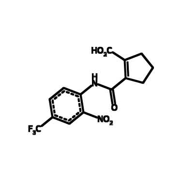 O=C(O)C1=C(C(=O)Nc2ccc(C(F)(F)F)cc2[N+](=O)[O-])CCC1